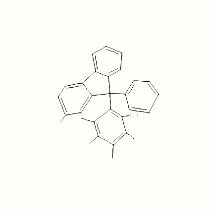 Bc1c(B)c(B)c(C2(c3ccccc3)c3ccccc3-c3ccc(Br)cc32)c(B)c1B